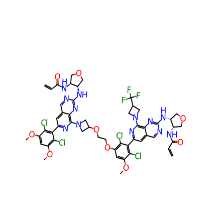 C=CC(=O)N[C@H]1COC[C@H]1Nc1ncc2cc(-c3c(Cl)c(OC)cc(OC)c3Cl)nc(N3CC(OCCOc4cc(OC)c(Cl)c(-c5cc6cnc(N[C@@H]7COC[C@@H]7NC(=O)C=C)nc6c(N6CC(C(F)(F)F)C6)n5)c4Cl)C3)c2n1